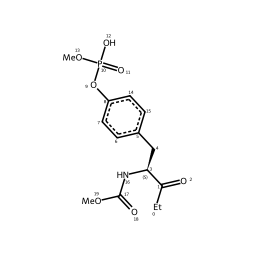 CCC(=O)[C@H](Cc1ccc(OP(=O)(O)OC)cc1)NC(=O)OC